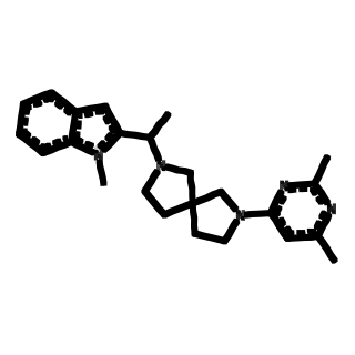 Cc1cc(N2CCC3(CCN(C(C)c4cc5ccccc5n4C)C3)C2)nc(C)n1